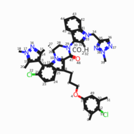 Cc1cc(OCCCc2c3n(c4c(-c5c(C)nn(C)c5C)c(Cl)ccc24)[C@H](C)CN(c2c(C(=O)O)n(Cc4cnn(C)n4)c4ccccc24)C3=O)cc(C)c1Cl